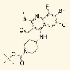 CSc1nc2c(F)c(Br)c(Cl)cc2c(NC2CCN(C(=O)OC(C)(C)C)CC2)c1C=O